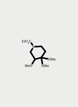 CCOC(=O)N1CCC(OC)(OC)C(OC)C1